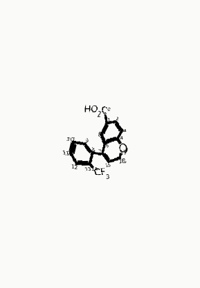 O=C(O)c1ccc2c(c1)C(c1ccccc1C(F)(F)F)=CCO2